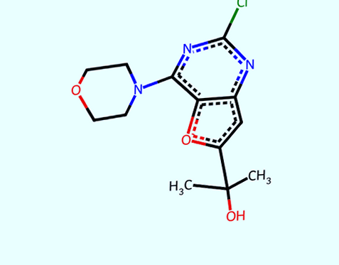 CC(C)(O)c1cc2nc(Cl)nc(N3CCOCC3)c2o1